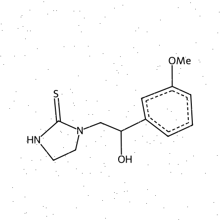 COc1cccc(C(O)CN2CCNC2=S)c1